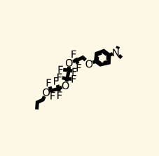 CCCOC(F)(F)C(F)(F)OC(F)(F)C(F)(F)OC(F)(F)COc1ccc(N(C)C)cc1